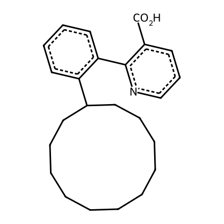 O=C(O)c1cccnc1-c1ccccc1C1CCCCCCCCCCC1